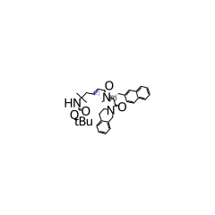 CN(C(=O)/C=C/CC(C)(C)NC(=O)OC(C)(C)C)[C@H](Cc1ccc2ccccc2c1)C(=O)N1CCc2ccccc2C1